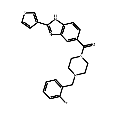 O=C(c1ccc2[nH]c(-c3ccsc3)nc2c1)N1CCN(Cc2ccccc2F)CC1